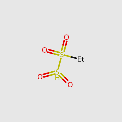 CCS(=O)(=O)[SH](=O)=O